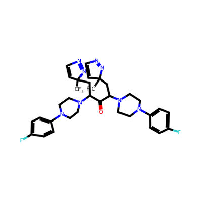 O=C(C(CC1(C(F)(F)F)C=CN=N1)N1CCN(c2ccc(F)cc2)CC1)C(CC1(C(F)(F)F)C=CN=N1)N1CCN(c2ccc(F)cc2)CC1